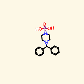 O=P(O)(O)N1CCN(C(c2ccccc2)c2ccccc2)CC1